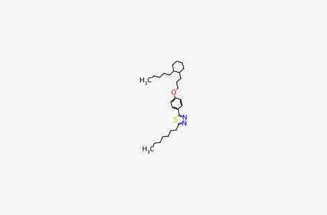 CCCCCCCc1nnc(-c2ccc(OCCCC3CCCCC3CCCCC)cc2)s1